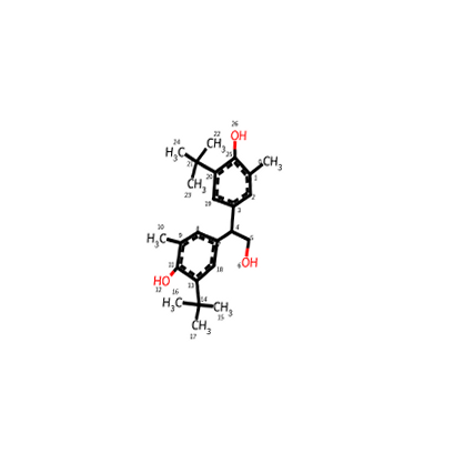 Cc1cc(C(CO)c2cc(C)c(O)c(C(C)(C)C)c2)cc(C(C)(C)C)c1O